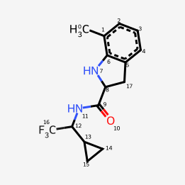 Cc1cccc2c1NC(C(=O)NC(C1CC1)C(F)(F)F)C2